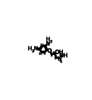 CN(O)CC(O)COc1ccc(N)cc1N